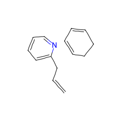 C1=CCCC=C1.C=CCc1ccccn1